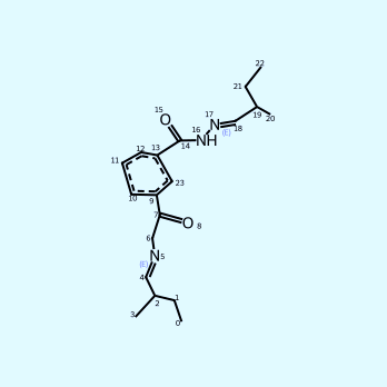 CCC(C)/C=N/CC(=O)c1cccc(C(=O)N/N=C/C(C)CC)c1